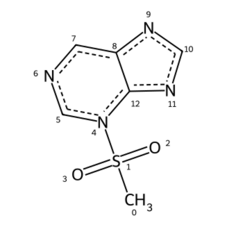 CS(=O)(=O)n1cncc2ncnc1-2